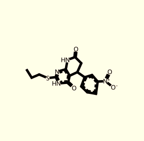 CCCSc1nc2c(c(=O)[nH]1)C(c1cccc([N+](=O)[O-])c1)CC(=O)N2